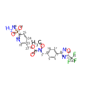 CON(Cc1ccc(-c2noc(C(F)(F)F)n2)cc1)C(=O)OCc1ccc(S(N)(=O)=O)nc1